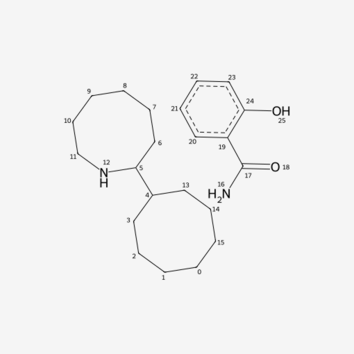 C1CCCC(C2CCCCCCN2)CCC1.NC(=O)c1ccccc1O